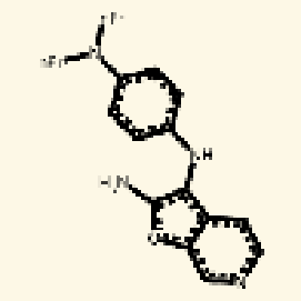 CCCN(CCC)c1ccc(Nc2c(N)oc3cnccc23)cc1